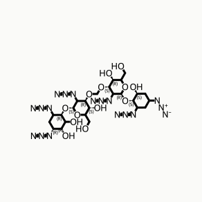 [N-]=[N+]=NC1CC(N=[N+]=[N-])[C@H](O[C@@H]2OC(CO)[C@H](O)[C@@H](OCO[C@@H]3C(N=[N+]=[N-])[C@@H](O[C@@H]4C(N=[N+]=[N-])C[C@@H](N=[N+]=[N-])[C@@H](O)C4O)OC(CO)[C@H]3O)C2N=[N+]=[N-])[C@@H](O)C1